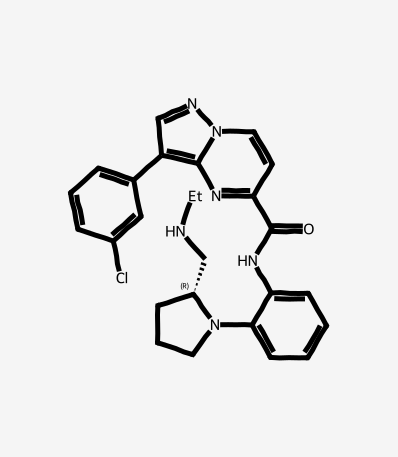 CCNC[C@H]1CCCN1c1ccccc1NC(=O)c1ccn2ncc(-c3cccc(Cl)c3)c2n1